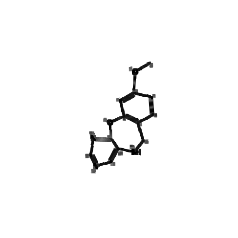 COc1ccc2c(c1)Oc1ncncc1NC2